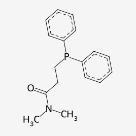 CN(C)C(=O)CCP(c1ccccc1)c1ccccc1